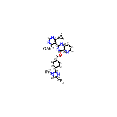 COc1ncnc(C2CC2)c1-c1nc(OCc2ccc(-c3nc(C(F)(F)F)cn3C(C)C)cc2)c2ncccc2n1